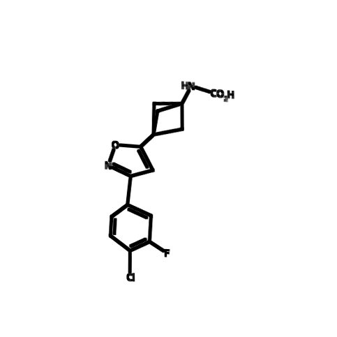 O=C(O)NC12CC(c3cc(-c4ccc(Cl)c(F)c4)no3)(C1)C2